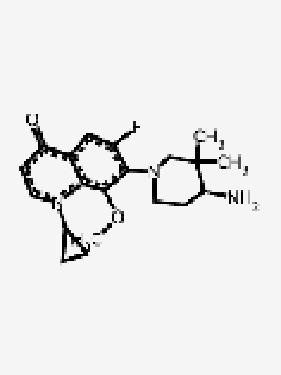 COc1c(N2CC[C@H](N)C(C)(C)C2)c(F)cc2c(=O)ccn(C3CC3)c12